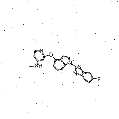 CNc1ccnc(Oc2cccc3c2ccn3-c2nc3ccc(F)cc3s2)c1